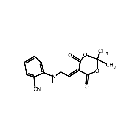 CC1(C)OC(=O)C(=CCNc2ccccc2C#N)C(=O)O1